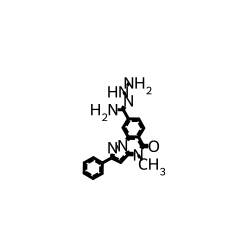 Cn1c(=O)c2ccc(/C(N)=N/NN)cc2n2nc(-c3ccccc3)cc12